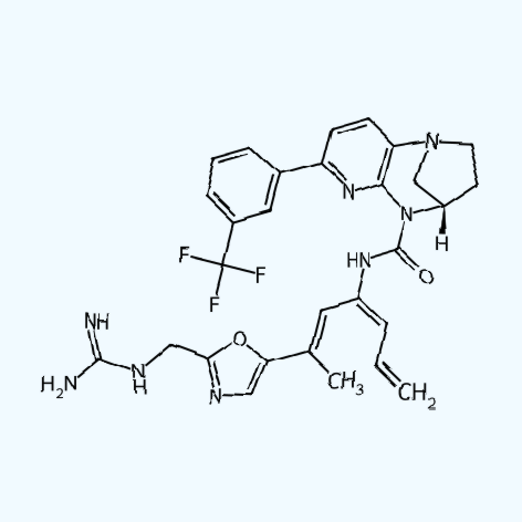 C=C/C=C(\C=C(/C)c1cnc(CNC(=N)N)o1)NC(=O)N1c2nc(-c3cccc(C(F)(F)F)c3)ccc2N2CC[C@H]1C2